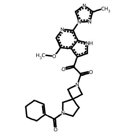 COc1cnc(-n2cnc(C)n2)c2[nH]cc(C(=O)C(=O)N3CC4(CCN(C(=O)C5=CCCCC5)C4)C3)c12